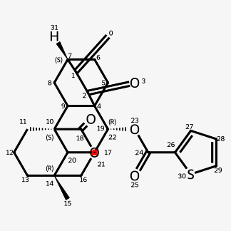 C=C1C(=O)C23CC[C@H]1CC2[C@@]12CCC[C@@](C)(COC1=O)C2C[C@H]3OC(=O)c1cccs1